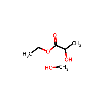 CCOC(=O)C(C)O.CO